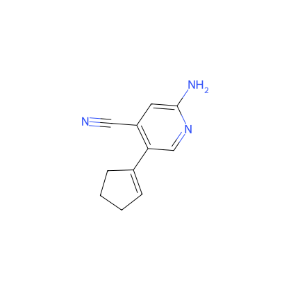 N#Cc1cc(N)ncc1C1=CCCC1